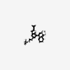 Cn1cc(-c2cc(CCN[SH](=O)=O)cc3cc(C4CC4)oc23)c2ccccc2c1=O